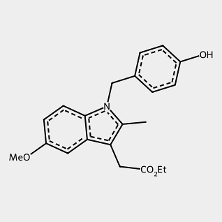 CCOC(=O)Cc1c(C)n(Cc2ccc(O)cc2)c2ccc(OC)cc12